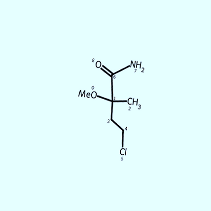 COC(C)(CCCl)C(N)=O